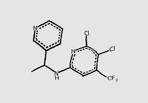 CC(Nc1cc(C(F)(F)F)c(Cl)c(Cl)n1)c1cccnc1